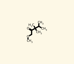 COCC(=O)C(C)(C)C(C)C